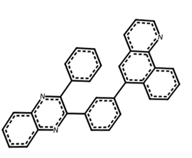 c1ccc(-c2nc3ccccc3nc2-c2cccc(-c3cc4cccnc4c4ccccc34)c2)cc1